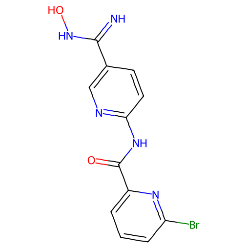 N=C(NO)c1ccc(NC(=O)c2cccc(Br)n2)nc1